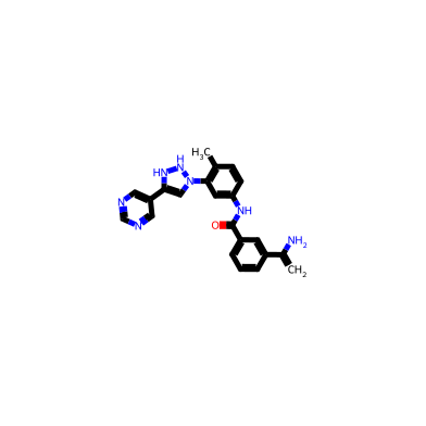 C=C(N)c1cccc(C(=O)Nc2ccc(C)c(N3C=C(c4cncnc4)NN3)c2)c1